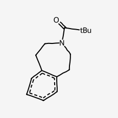 CC(C)(C)C(=O)N1CCc2ccccc2CC1